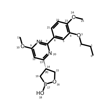 CCCOc1cc(-c2nc(OC)cc([C@@H]3COB(O)C3)n2)ccc1OC